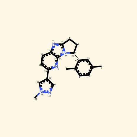 Cc1ccc(C)c([C@H]2CCc3nc4ccc(-c5cnn(C)c5)nc4n32)c1